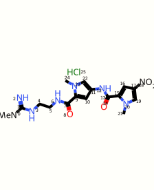 CNC(=N)NCCNC(=O)c1cc(NC(=O)c2cc([N+](=O)[O-])cn2C)cn1C.Cl